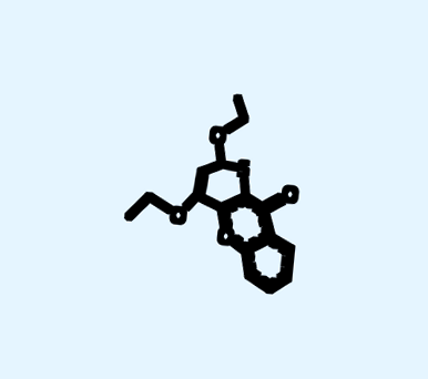 CCOC1=CC(OCC)Sc2c1oc1ccccc1c2=O